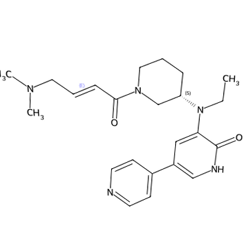 CCN(c1cc(-c2ccncc2)c[nH]c1=O)[C@H]1CCCN(C(=O)/C=C/CN(C)C)C1